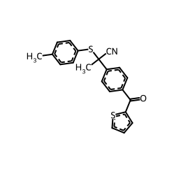 Cc1ccc(SC(C)(C#N)c2ccc(C(=O)c3cccs3)cc2)cc1